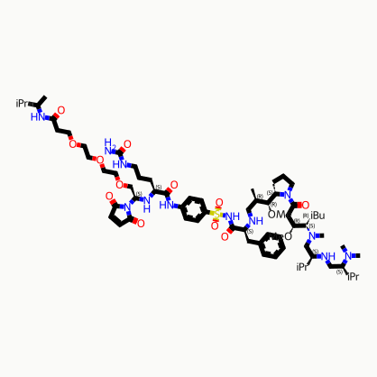 CC[C@@H](C)[C@@H]([C@@H](CC(=O)N1CCC[C@H]1[C@H](OC)[C@H](C)CN[C@@H](Cc1ccccc1)C(=O)NS(=O)(=O)c1ccc(NC(=O)[C@H](CCCNC(N)=O)N[C@H](COCCOCCOCCC(=O)NC(C)C(C)C)N2C(=O)C=CC2=O)cc1)OC)N(C)C[C@@H](NC[C@H](C(C)C)N(C)C)C(C)C